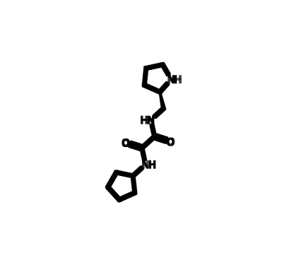 O=C(NC[C@H]1CCCN1)C(=O)NC1CCCC1